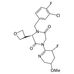 COC1CN=C(N2CC(=O)N(Cc3ccc(F)c(Cl)c3)[C@H](C3COC3)C2=O)C(F)C1